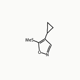 CSc1oncc1C1CC1